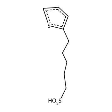 O=S(=O)(O)CCCCCc1cccs1